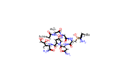 CCCC/C=C(\N)[S+]([O-])C[C@H](NC(=O)CNC(=O)C(NC(=O)CNC(C)=O)[C@@H](C)CC)C(=O)N[C@@H](CC(N)=O)C(=O)N1C[C@H](O)CC1C(=O)NC(C(N)=O)[C@@H](C)C(O)CO